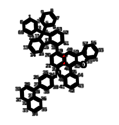 c1ccc(C2(c3ccccc3)c3ccccc3-c3c(-c4ccc(N(c5ccc(-c6cccc7ccccc67)cc5)c5ccccc5-c5cccc6c5oc5ccccc56)cc4)cccc32)cc1